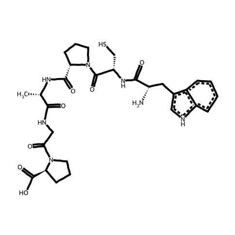 C[C@H](NC(=O)[C@@H]1CCCN1C(=O)[C@H](CS)NC(=O)[C@@H](N)Cc1c[nH]c2ccccc12)C(=O)NCC(=O)N1CCC[C@H]1C(=O)O